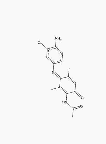 CC(=O)NC1=C(C)C(=Nc2ccc(N)c(Cl)c2)C(C)=CC1=O